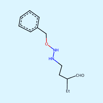 CCC(C=O)CCNNOCc1ccccc1